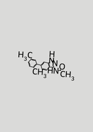 CC(=O)Nc1n[nH]c2cc(-c3cc(C)ccc3C)ccc12